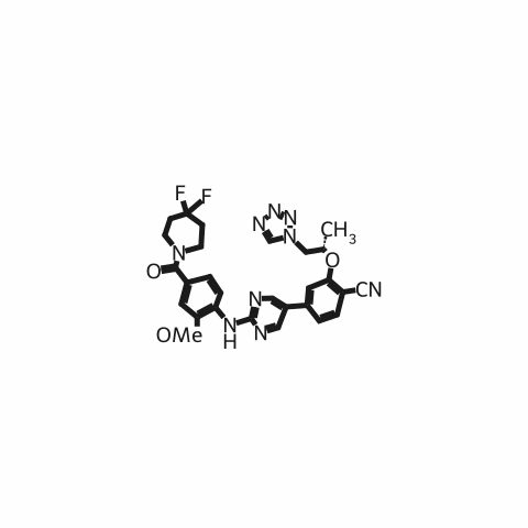 COc1cc(C(=O)N2CCC(F)(F)CC2)ccc1Nc1ncc(-c2ccc(C#N)c(O[C@@H](C)Cn3cnnn3)c2)cn1